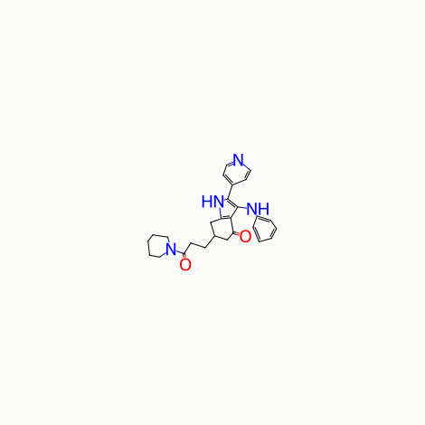 O=C1CC(CCC(=O)N2CCCCC2)Cc2[nH]c(-c3ccncc3)c(Nc3ccccc3)c21